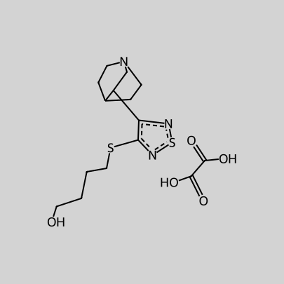 O=C(O)C(=O)O.OCCCCSc1nsnc1C1CN2CCC1CC2